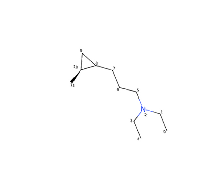 CCN(CC)CCCC1C[C@@H]1C